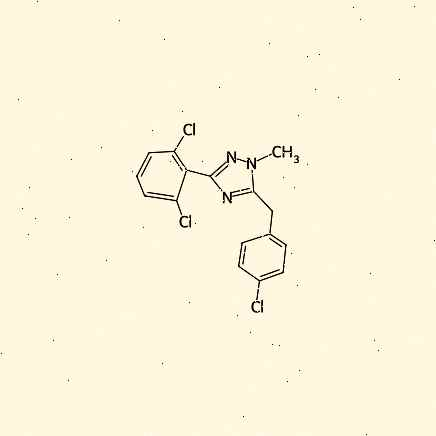 Cn1nc(-c2c(Cl)cccc2Cl)nc1Cc1ccc(Cl)cc1